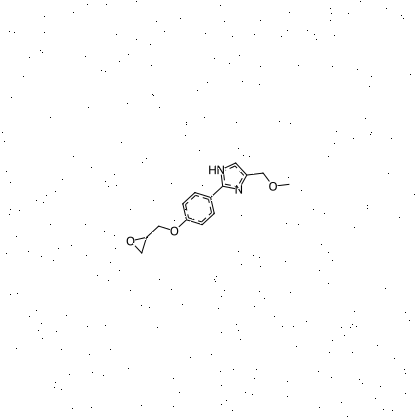 COCc1c[nH]c(-c2ccc(OCC3CO3)cc2)n1